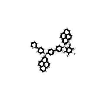 [2H]c1c([2H])c([2H])c(N(c2ccc(-c3ccc(N(c4ccc(-c5ccccn5)cc4)c4cc5ccc6cccc7ccc(c4)c5c67)cc3)cc2)c2cc3ccc4cccc5ccc(c2)c3c45)c([2H])c1[2H]